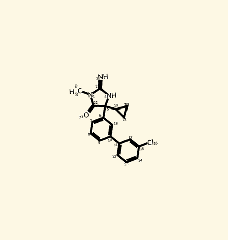 CN1C(=N)NC(c2cccc(-c3cccc(Cl)c3)c2)(C2CC2)C1=O